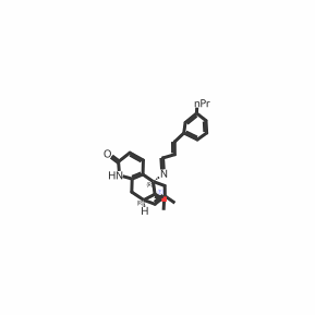 C/C=C1\[C@H]2C=C(C)C[C@]1(N=CC=Cc1cccc(CCC)c1)c1ccc(=O)[nH]c1C2